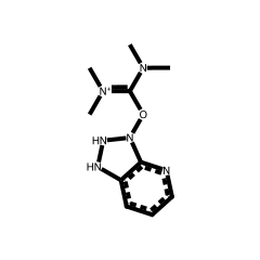 CN(C)C(ON1NNc2cccnc21)=[N+](C)C